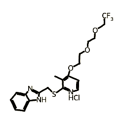 Cc1c(OCCOCCOCC(F)(F)F)ccnc1SCc1nc2ccccc2[nH]1.Cl